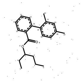 CCCC(CC)OC(=O)c1ccccc1-c1ccc(C)cc1C